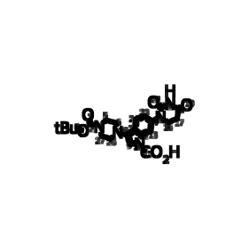 CC(C)(C)OC(=O)N1CCN(c2cn(C(=O)O)c3cc(N4CCC(=O)NC4=O)ccc23)CC1